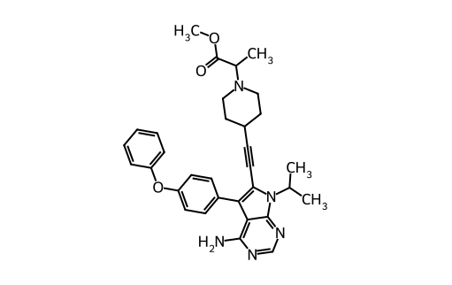 COC(=O)C(C)N1CCC(C#Cc2c(-c3ccc(Oc4ccccc4)cc3)c3c(N)ncnc3n2C(C)C)CC1